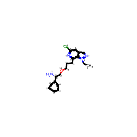 CCn1ncc2cc(Cl)nc(CCCOC[C@@H](N)c3ccccc3)c21